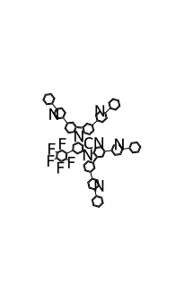 N#Cc1c(-n2c3ccc(-c4ccc(-c5ccccc5)nc4)cc3c3cc(-c4ccc(-c5ccccc5)nc4)ccc32)cc(-c2c(F)c(F)c(F)c(F)c2F)cc1-n1c2ccc(-c3ccc(-c4ccccc4)nc3)cc2c2cc(-c3ccc(-c4ccccc4)nc3)ccc21